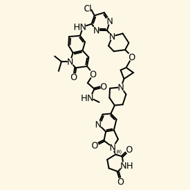 CNC(=O)COc1cc2cc(Nc3nc(N4CCC(OC5CC(N6CCC(c7cnc8c(c7)CN([C@@H]7CCC(=O)NC7=O)C8=O)CC6)C5)CC4)ncc3Cl)ccc2n(C(C)C)c1=O